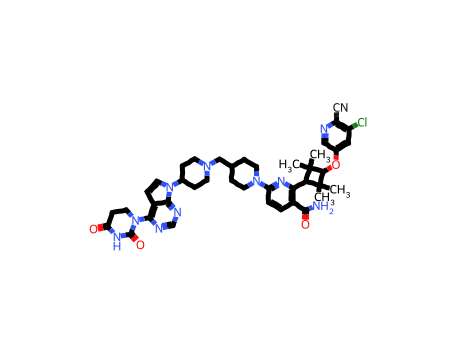 CC1(C)C(Oc2cnc(C#N)c(Cl)c2)C(C)(C)C1c1nc(N2CCC(CN3CCC(n4ccc5c(N6CCC(=O)NC6=O)ncnc54)CC3)CC2)ccc1C(N)=O